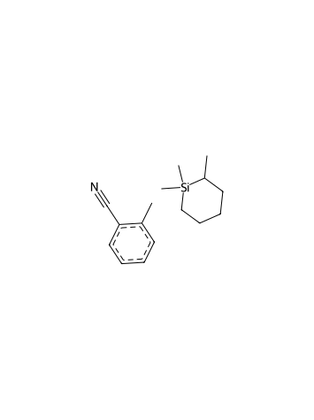 CC1CCCC[Si]1(C)C.Cc1ccccc1C#N